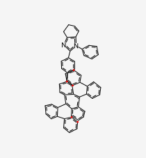 C1=Cc2c(nc(-c3ccc(-c4ccc5c(-c6ccccc6-c6ccccc6)c6ccccc6c(-c6ccccc6-c6ccccc6)c5c4)cc3)n2-c2ccccc2)CC1